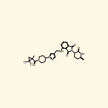 C=C1CCC(N2C(=O)c3cccc(NCc4cnn(C5CCN(C(=O)C6(C)CC6(Cl)Cl)CC5)c4)c3C2=O)C(=O)N1